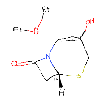 CCOCC.O=C1C[C@H]2SCC(O)=CN12